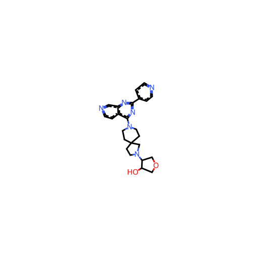 OC1COCC1N1CCC2(CCN(c3nc(-c4ccncc4)nc4cnccc34)CC2)C1